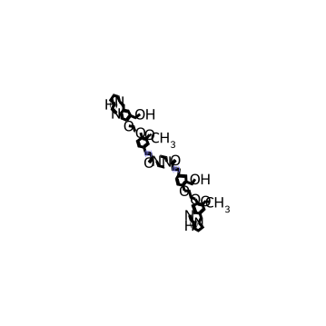 COc1cc(/C=C/C(=O)N2CCN(C(=O)/C=C/c3ccc(OCCOc4cc5c(cc4OC)CN4CCC[C@H]4C=N5)c(CO)c3)CC2)ccc1OCCOc1cc2c(cc1CO)CN1CCC[C@H]1C=N2